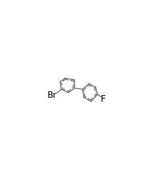 Fc1ccc(-c2cccc(Br)c2)cc1